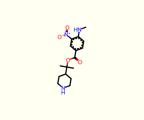 CNc1ccc(C(=O)OC(C)(C)C2CCNCC2)cc1[N+](=O)[O-]